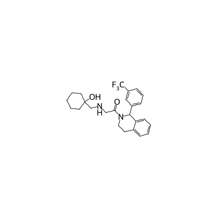 O=C(CNCC1(O)CCCCC1)N1CCc2ccccc2C1c1cccc(C(F)(F)F)c1